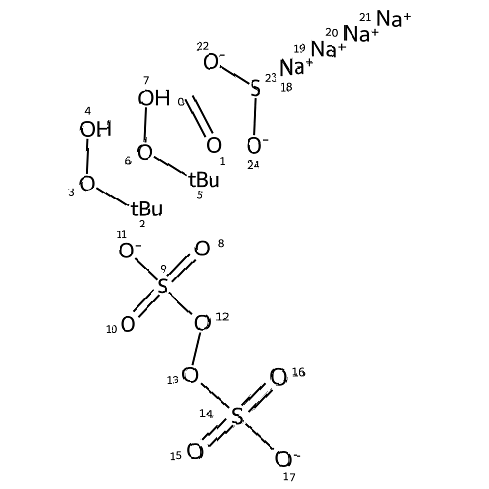 C=O.CC(C)(C)OO.CC(C)(C)OO.O=S(=O)([O-])OOS(=O)(=O)[O-].[Na+].[Na+].[Na+].[Na+].[O-]S[O-]